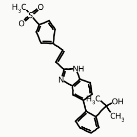 CC(C)(O)c1ccccc1-c1ccc2[nH]c(/C=C/c3ccc(S(C)(=O)=O)cc3)nc2c1